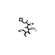 C=C=C/C(=C/C)C(=C)/C(P)=C(\C)C(=C=C)C(C)CC1CCC1